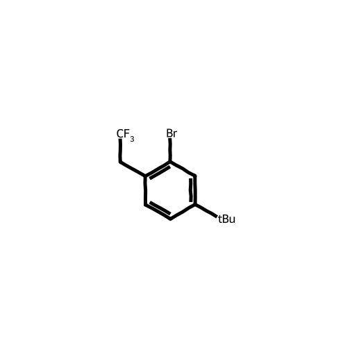 CC(C)(C)c1ccc(CC(F)(F)F)c(Br)c1